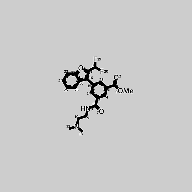 COC(=O)c1cc(C(=O)NCCN(C)C)cc(-c2c(C(F)F)oc3ccccc23)c1